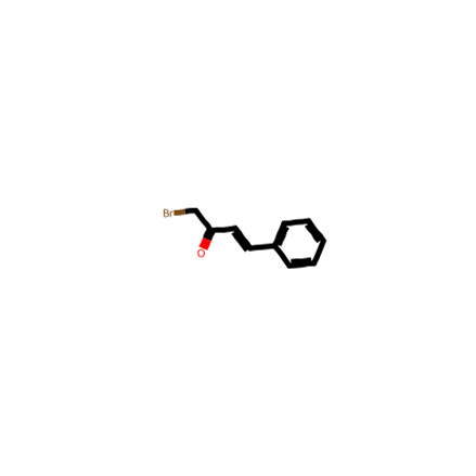 O=C(C=Cc1ccccc1)CBr